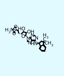 CC1(C)CC(Nc2ncnc3c2ncn3[C@@H]2O[C@H](CCS(N)(=O)=O)[C@H](O)[C@H]2O)c2ccccc21